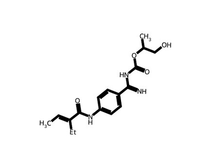 C/C=C(\CC)C(=O)Nc1ccc(C(=N)NC(=O)OC(C)CO)cc1